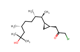 C[C@H](CC[C@H](C)[C@@H](C)[C@@H]1C[C@@H]1CC(=O)CBr)CC(C)(C)O